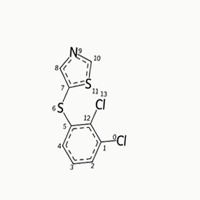 Clc1cccc(Sc2cncs2)c1Cl